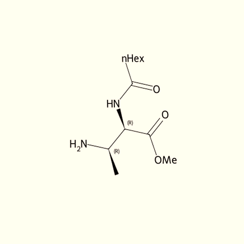 CCCCCCC(=O)N[C@@H](C(=O)OC)[C@@H](C)N